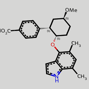 CO[C@H]1CC[C@H](Oc2c(C)cc(C)c3[nH]ccc23)[C@H](c2ccc(C(=O)O)cc2)C1